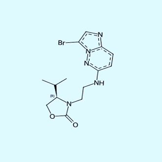 CC(C)[C@@H]1COC(=O)N1CCNc1ccc2ncc(Br)n2n1